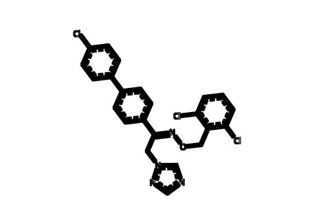 Clc1ccc(-c2ccc(C(Cn3cncn3)=NOCc3c(Cl)cccc3Cl)cc2)cc1